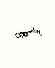 NC(=O)CCc1ccc2nc3c(cc2c1)C=CCC3